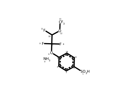 N.O=S(=O)(O)c1ccc(OC(F)(F)C(F)OC(F)(F)F)cc1